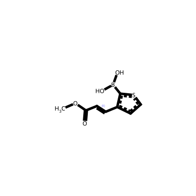 COC(=O)/C=C/c1ccsc1B(O)O